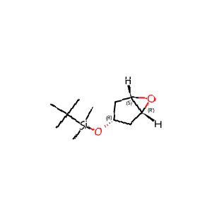 CC(C)(C)[Si](C)(C)O[C@@H]1C[C@@H]2O[C@@H]2C1